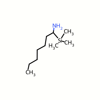 CCCCCCC(N)[Si](C)(C)C